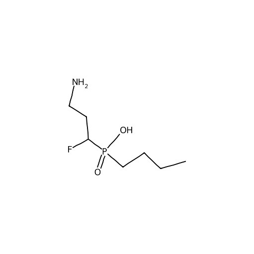 CCCCP(=O)(O)C(F)CCN